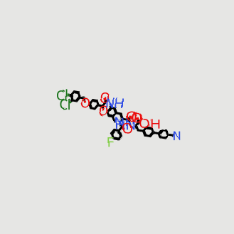 N#Cc1ccc(-c2ccc(CC(NC(=O)C3Cc4cc5c(cc4CN3C(=O)c3ccc(F)cc3)OC(c3ccc(OCc4ccc(Cl)c(Cl)c4)cc3)C(=O)N5)C(=O)O)cc2)cc1